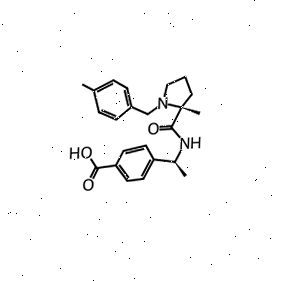 Cc1ccc(CN2CCC[C@]2(C)C(=O)N[C@@H](C)c2ccc(C(=O)O)cc2)cc1